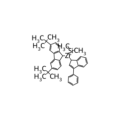 C[Si](C)=[Zr]([CH]1C=C(c2ccccc2)c2ccccc21)[CH]1c2ccc(C(C)(C)C)cc2-c2cc(C(C)(C)C)ccc21